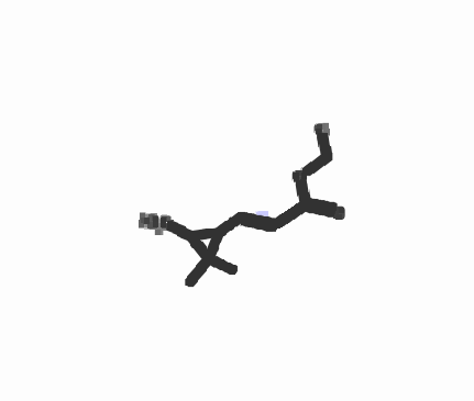 CC1(C)C(/C=C/C(=O)OCCl)C1C(=O)O